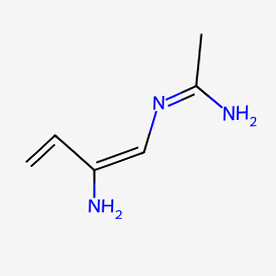 C=C/C(N)=C\N=C(\C)N